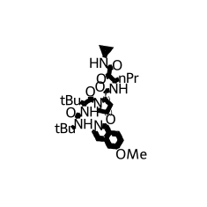 CCCC(NC(=O)[C@@H]1C[C@@H](Oc2nccc3cc(OC)ccc23)CN1C(=O)C(NC(=O)NC(C)(C)C)C(C)(C)C)C(=O)C(=O)NC1CC1